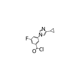 O=C(Cl)c1cc(F)cc(-n2cnc(C3CC3)c2)c1